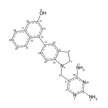 Nc1ncc(CN2CCc3cc(-c4cc(O)cc5ccccc45)ccc32)c(N)n1